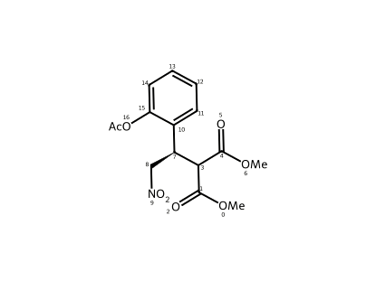 COC(=O)C(C(=O)OC)[C@@H](C[N+](=O)[O-])c1ccccc1OC(C)=O